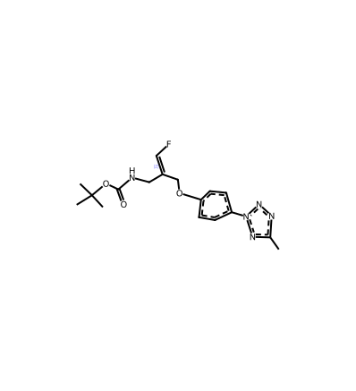 Cc1nnn(-c2ccc(OC/C(=C\F)CNC(=O)OC(C)(C)C)cc2)n1